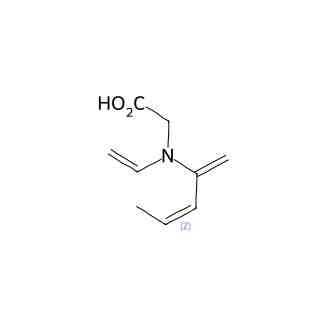 C=CN(CC(=O)O)C(=C)/C=C\C